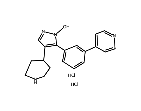 Cl.Cl.On1ncc(C2CCNCC2)c1-c1cccc(-c2ccncc2)c1